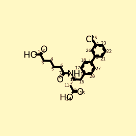 O=C(O)CCCCC(=O)N[C@@H](CC(=O)O)Cc1ccc(-c2cccc(Cl)c2)cc1